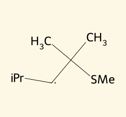 CSC(C)(C)[CH]C(C)C